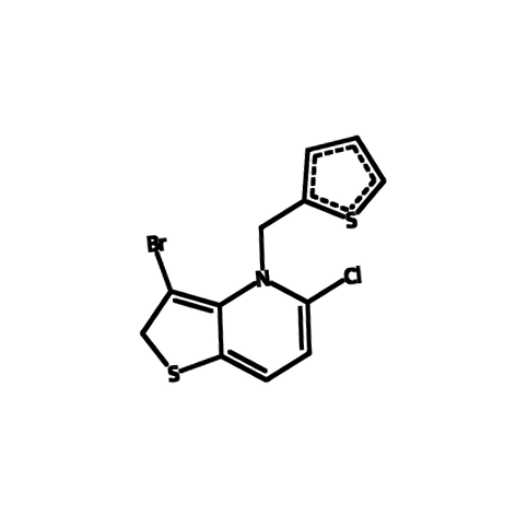 ClC1=CC=C2SCC(Br)=C2N1Cc1cccs1